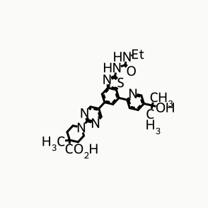 CCNC(=O)Nc1nc2cc(-c3cnc(N4CCC(C)(C(=O)O)CC4)nc3)cc(-c3ccc(C(C)(C)O)cn3)c2s1